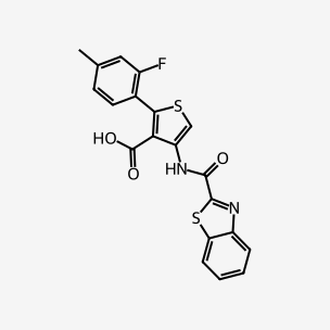 Cc1ccc(-c2scc(NC(=O)c3nc4ccccc4s3)c2C(=O)O)c(F)c1